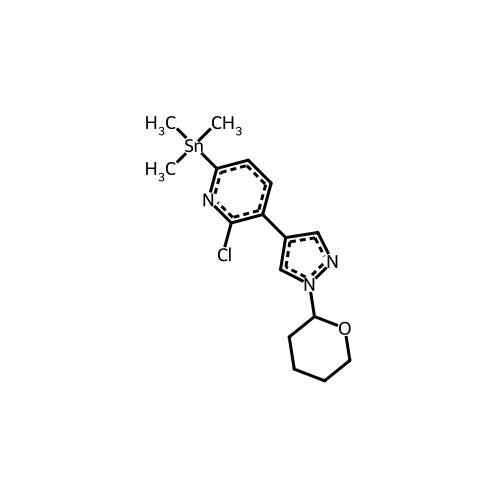 [CH3][Sn]([CH3])([CH3])[c]1ccc(-c2cnn(C3CCCCO3)c2)c(Cl)n1